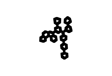 c1ccc(-c2ccc(-c3ccc(N(c4cccc(-c5ccccc5)c4)c4cc(-c5ccccc5)cc(-c5cc6ccc7ccccc7c6c6ccccc56)c4)cc3)cc2)cc1